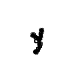 ClC(CC(=Cc1ccc(OCc2ccccc2)cc1)c1ccc(OCc2ccccc2)cc1)c1ccc(OCCOCc2ccccc2)cc1